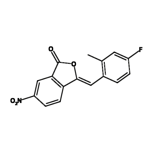 Cc1cc(F)ccc1C=C1OC(=O)c2cc([N+](=O)[O-])ccc21